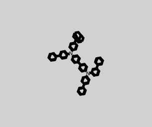 c1ccc(-c2ccc(N(c3ccc(-c4ccc(N(c5ccc(-c6ccccc6)cc5)c5cccc(-c6ccccc6)c5)cc4)cc3)c3ccc(C45CC6CC(CC(C6)C4)C5)cc3)cc2)cc1